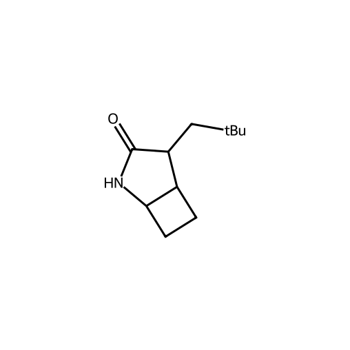 CC(C)(C)CC1C(=O)NC2CCC21